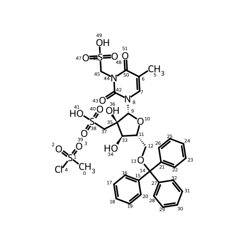 CS(=O)(=O)Cl.Cc1cn([C@@H]2O[C@H](COC(c3ccccc3)(c3ccccc3)c3ccccc3)[C@@H](O)[C@]2(O)CS(=O)(=O)O)c(=O)n(CS(=O)(=O)O)c1=O